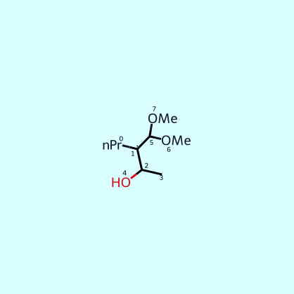 CCC[C](C(C)O)C(OC)OC